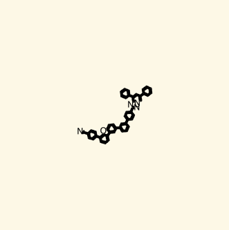 N#Cc1ccc(-c2cccc3c2oc2ccc(-c4cccc(-c5ccc(-c6nc7c(-c8ccccc8)cc(-c8ccccc8)cn7n6)cc5)c4)cc23)cc1